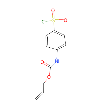 C=CCOC(=O)Nc1ccc(S(=O)(=O)Cl)cc1